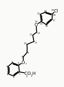 O=C(O)c1ccccc1OCCCCCCOc1ccc(Cl)cc1